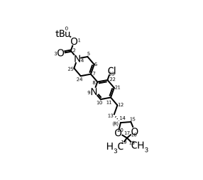 CC(C)(C)OC(=O)N1CC=C(c2ncc(CC[C@@H]3COC(C)(C)O3)cc2Cl)CC1